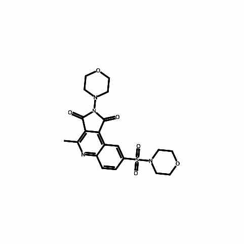 Cc1nc2ccc(S(=O)(=O)N3CCOCC3)cc2c2c1C(=O)N(N1CCOCC1)C2=O